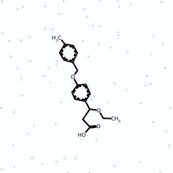 CCOC(CC(=O)O)c1ccc(OCc2ccc(C)cc2)cc1